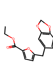 CCOC(=O)c1ccc(Cc2ccc3c(c2)OCO3)o1